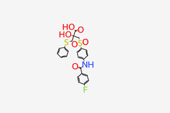 O=C(Nc1ccc(S(=O)(=O)CC(O)(CSc2ccccc2)C(=O)O)cc1)c1ccc(F)cc1